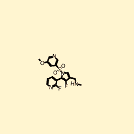 CNCc1cn(S(=O)(=O)c2cncc(OC)c2)c(-c2cccnc2F)c1F